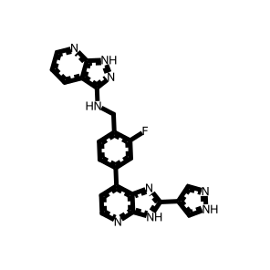 Fc1cc(-c2ccnc3[nH]c(-c4cn[nH]c4)nc23)ccc1CNc1n[nH]c2ncccc12